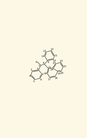 CC(c1ccccc1)C(c1ccccc1)c1cccc2ccccc12